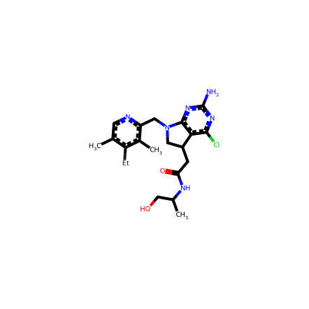 CCc1c(C)cnc(CN2CC(CC(=O)NC(C)CO)c3c(Cl)nc(N)nc32)c1C